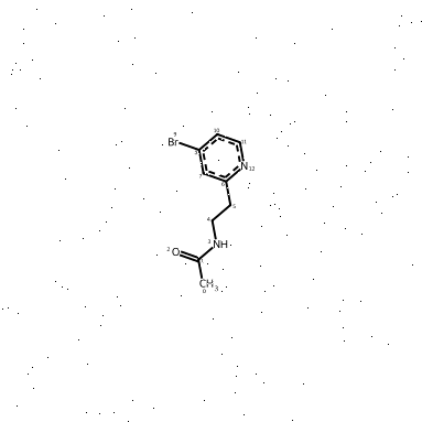 CC(=O)NCCc1cc(Br)ccn1